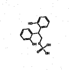 O=P(O)(O)OCC(c1ccccc1O)c1ccccc1O